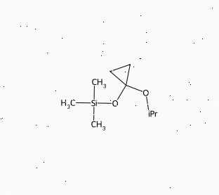 CC(C)OC1(O[Si](C)(C)C)CC1